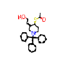 CC(=O)SC1CCN(C(c2ccccc2)(c2ccccc2)c2ccccc2)C/C1=C/CO